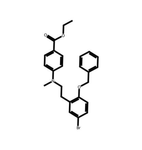 CCOC(=O)c1ccc(N(C)CCc2cc(Br)ccc2OCc2ccccc2)cc1